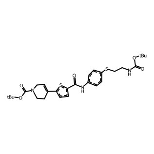 CC(C)(C)OC(=O)NCCSc1ccc(NC(=O)c2ccc(C3=CCN(C(=O)OC(C)(C)C)CC3)s2)cc1